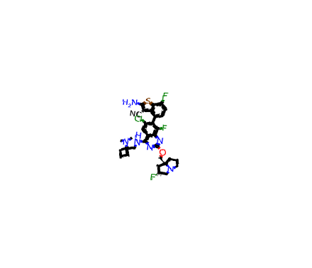 CN(C)C1(CNc2nc(OC[C@@]34CCCN3C[C@H](F)C4)nc3c(F)c(-c4ccc(F)c5sc(N)c(C#N)c45)c(Cl)cc23)CCC1